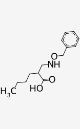 CCCCC(CNOCc1ccccc1)C(=O)O